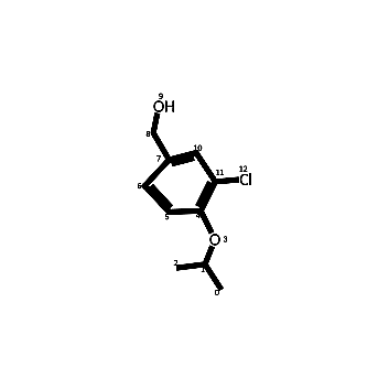 CC(C)Oc1ccc([CH]O)cc1Cl